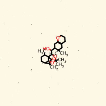 C=C1C(=O)C23C(C)CCC1C2OC(C)(C)OC3C(O)C1CC2=C(CCCO2)CC1(C)C